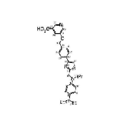 CCC(CC)c1ccc(N(Cc2nc(-c3ccc(COc4cncc(C(=O)O)c4)cc3)cs2)C(C)C)cc1